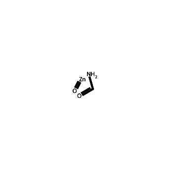 NC=O.[O]=[Zn]